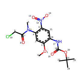 COc1cc(N(C)C(=O)CCl)c([N+](=O)[O-])cc1NC(=O)OC(C)(C)C